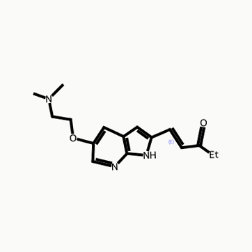 CCC(=O)/C=C/c1cc2cc(OCCN(C)C)cnc2[nH]1